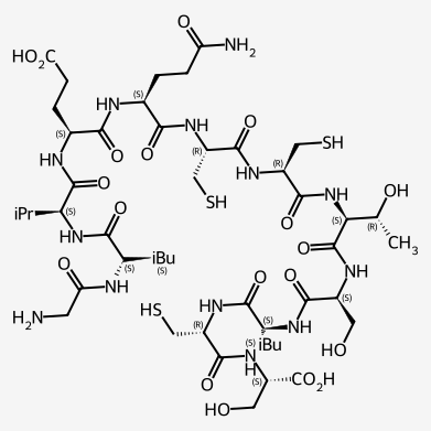 CC[C@H](C)[C@H](NC(=O)CN)C(=O)N[C@H](C(=O)N[C@@H](CCC(=O)O)C(=O)N[C@@H](CCC(N)=O)C(=O)N[C@@H](CS)C(=O)N[C@@H](CS)C(=O)N[C@H](C(=O)N[C@@H](CO)C(=O)N[C@H](C(=O)N[C@@H](CS)C(=O)N[C@@H](CO)C(=O)O)[C@@H](C)CC)[C@@H](C)O)C(C)C